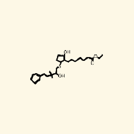 CCOC(=O)CCCCCCC1C(O)CCC1SCC(O)C(C)(C)CCc1ccccc1